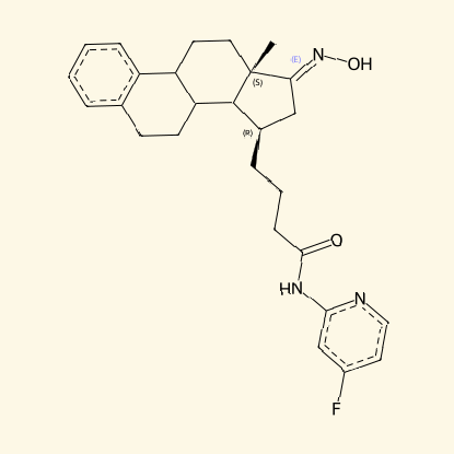 C[C@]12CCC3c4ccccc4CCC3C1[C@H](CCCC(=O)Nc1cc(F)ccn1)C/C2=N\O